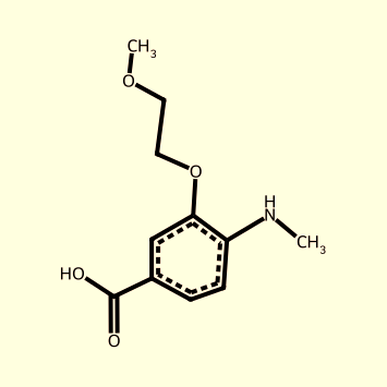 CNc1ccc(C(=O)O)cc1OCCOC